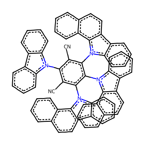 N#Cc1c(-n2c3ccccc3c3ccccc32)c(C#N)c(-n2c3ccccc3c3ccc4ccccc4c32)c(-n2c3ccccc3c3ccc4ccccc4c32)c1-n1c2ccccc2c2ccc3ccccc3c21